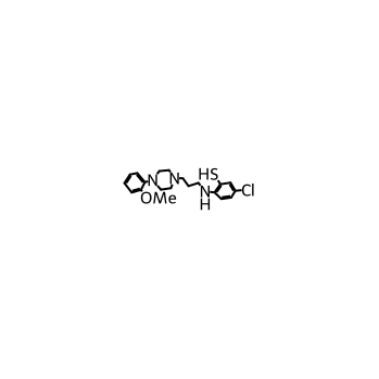 COc1ccccc1N1CCN(CCCNc2ccc(Cl)cc2S)CC1